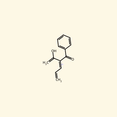 C=C/C=C(\C(=C)O)C(=O)c1ccccc1